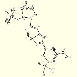 COC[C@H](c1cnn2cc([C@H](COC(C)(C)C(F)(F)F)NC(=O)OC(C)(C)C)nc2c1)N1C[C@@](C)(C(F)(F)F)NC1=O